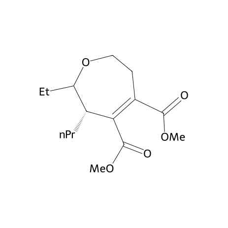 CCC[C@H]1C(C(=O)OC)=C(C(=O)OC)CCOC1CC